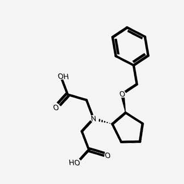 O=C(O)CN(CC(=O)O)[C@H]1CCC[C@@H]1OCc1ccccc1